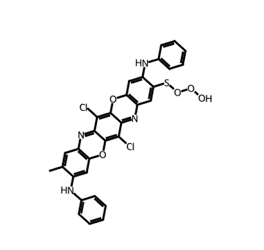 Cc1cc2c(cc1Nc1ccccc1)Oc1c(Cl)c3c(c(Cl)c1=N2)Oc1cc(Nc2ccccc2)c(SOOO)cc1N=3